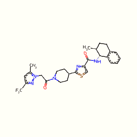 Cc1cc(C(F)(F)F)nn1CC(=O)N1CCC(c2nc(C(=O)N[C@H]3c4ccccc4CCC3C)cs2)CC1